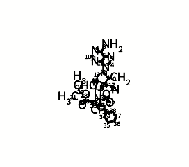 C=C1[C@@H](n2cnc3c(N)ncnc32)C[C@H](O)[C@@]1(C#N)COP(=O)(NC(C)C(=O)OC(C)C)Oc1ccccc1